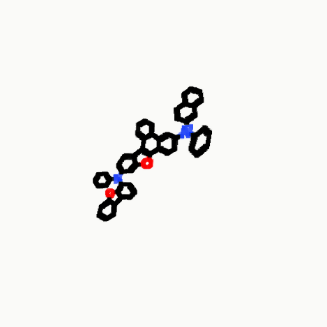 c1ccc(N(c2ccc3ccccc3c2)c2ccc3c(c2)c2ccccc2c2c4ccc(N(c5ccccc5)c5cccc6c5oc5ccccc56)cc4oc32)cc1